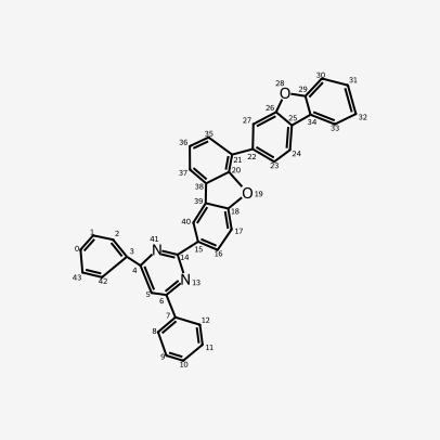 c1ccc(-c2cc(-c3ccccc3)nc(-c3ccc4oc5c(-c6ccc7c(c6)oc6ccccc67)cccc5c4c3)n2)cc1